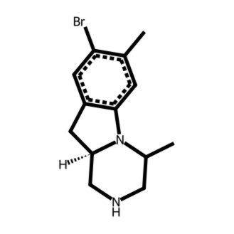 Cc1cc2c(cc1Br)C[C@@H]1CNCC(C)N21